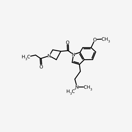 CCC(=O)N1CC(C(=O)n2cc(CCN(C)C)c3ccc(OC)cc32)C1